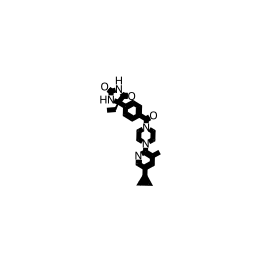 CC[C@@]1(c2ccc(C(=O)N3CCN(c4ncc(C5CC5)cc4C)CC3)cc2)NC(=O)NC1=O